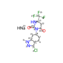 Cn1nc(Cl)c2ccc(-n3c(=O)cc(C(F)(F)F)[nH]c3=O)cc21.[NaH]